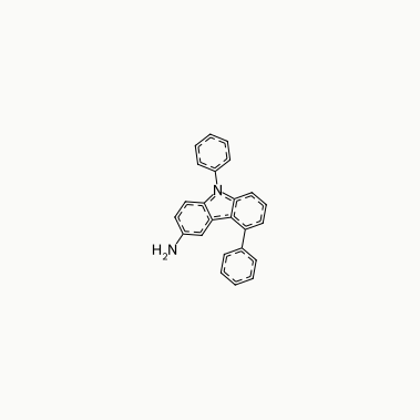 Nc1ccc2c(c1)c1c(-c3ccccc3)cccc1n2-c1ccccc1